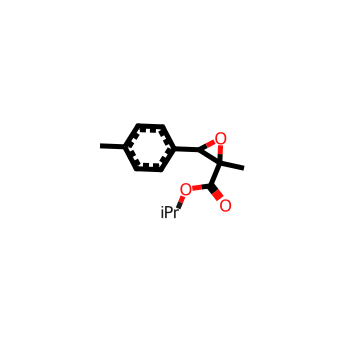 Cc1ccc(C2OC2(C)C(=O)OC(C)C)cc1